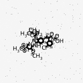 CCOc1cc(S(C)(=O)=O)cnc1Nc1nn(C(=O)OC(C)(C)C)c2cc([C@@H]3C[C@@]34C(=O)N(C(=O)O)c3ccc(Cl)cc34)ccc12